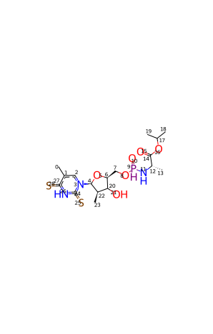 Cc1cn([C@H]2O[C@@H](CO[PH](=O)N[C@@H](C)C(=O)OC(C)C)C(O)[C@H]2C)c(=S)[nH]c1=S